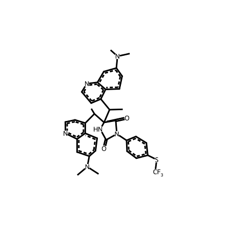 CC(c1ccnc2cc(N(C)C)ccc12)C1(C(C)c2ccnc3cc(N(C)C)ccc23)NC(=O)N(c2ccc(SC(F)(F)F)cc2)C1=O